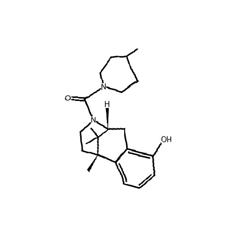 CC1CCN(C(=O)N2CC[C@@]3(C)c4cccc(O)c4C[C@@H]2C3(C)C)CC1